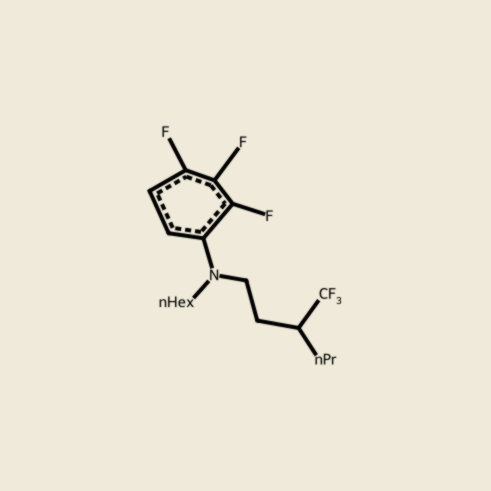 CCCCCCN(CCC(CCC)C(F)(F)F)c1ccc(F)c(F)c1F